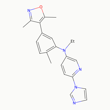 CCN(c1ccc(-n2ccnc2)nc1)c1cc(-c2c(C)noc2C)ccc1C